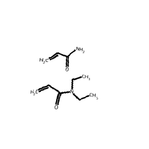 C=CC(=O)N(CC)CC.C=CC(N)=O